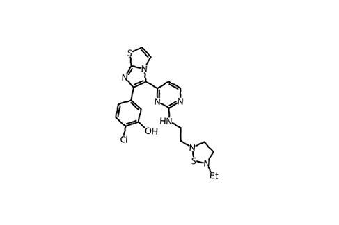 CCN1CCN(CCNc2nccc(-c3c(-c4ccc(Cl)c(O)c4)nc4sccn34)n2)S1